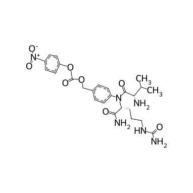 CC(C)[C@H](N)C(=O)N(c1ccc(COC(=O)Oc2ccc([N+](=O)[O-])cc2)cc1)[C@H](CCCNC(N)=O)C(N)=O